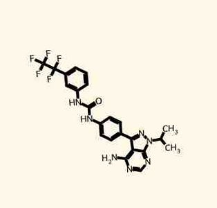 CC(C)n1nc(-c2ccc(NC(=O)Nc3cccc(C(F)(F)C(F)(F)F)c3)cc2)c2c(N)ncnc21